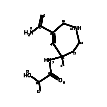 C=C(N)C1=CC(C)(NC(=O)C(C)O)CCNC1